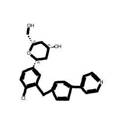 OC[C@@H]1C[C@H](O)C[C@H](c2ccc(Cl)c(Cc3ccc(-c4ccncc4)cc3)c2)O1